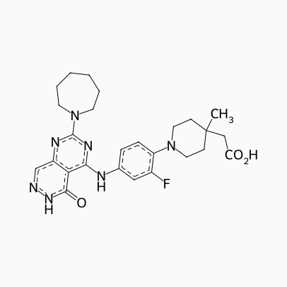 CC1(CC(=O)O)CCN(c2ccc(Nc3nc(N4CCCCCC4)nc4cn[nH]c(=O)c34)cc2F)CC1